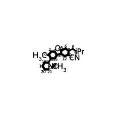 Cc1cc2oc3cc(CC(C)C)c(C#N)cc3c2cc1-c1cccc[n+]1C